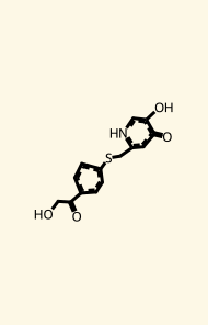 O=C(CO)c1ccc(SCc2cc(=O)c(O)c[nH]2)cc1